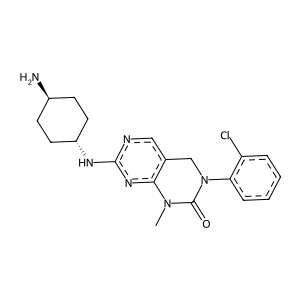 CN1C(=O)N(c2ccccc2Cl)Cc2cnc(N[C@H]3CC[C@H](N)CC3)nc21